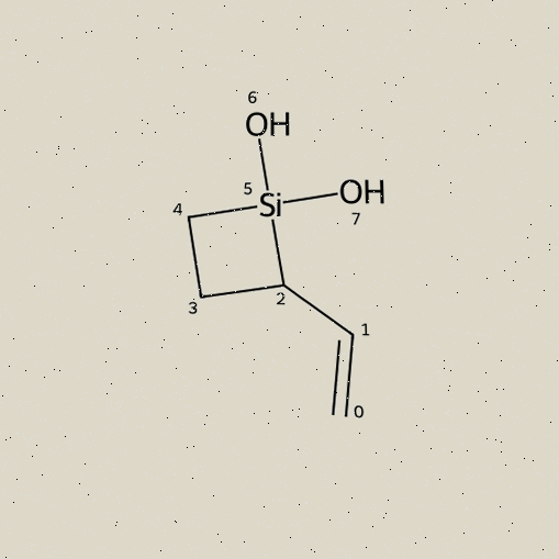 C=CC1CC[Si]1(O)O